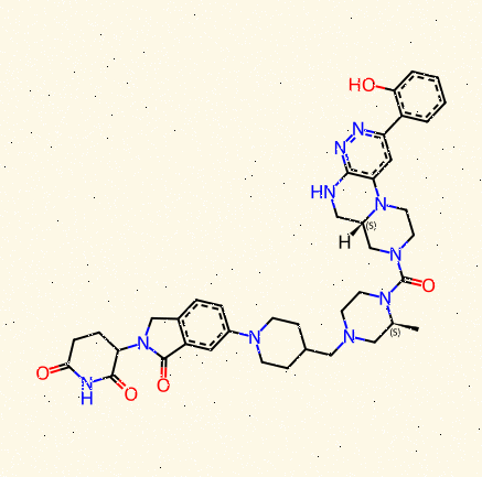 C[C@H]1CN(CC2CCN(c3ccc4c(c3)C(=O)N(C3CCC(=O)NC3=O)C4)CC2)CCN1C(=O)N1CCN2c3cc(-c4ccccc4O)nnc3NC[C@H]2C1